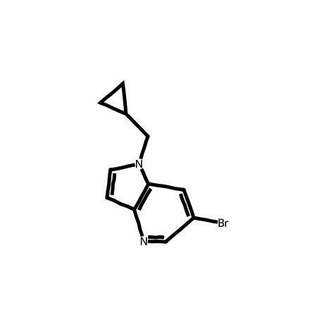 Brc1cnc2ccn(CC3CC3)c2c1